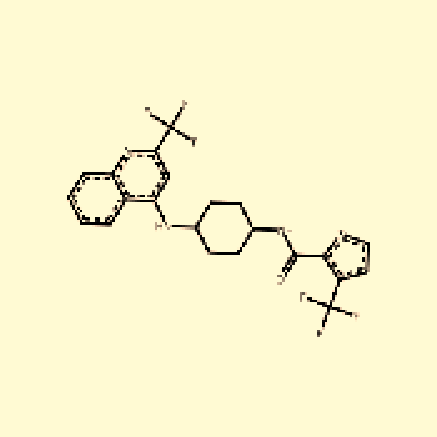 O=C(NC1CCC(Nc2cc(C(F)(F)F)nc3ccccc23)CC1)c1sccc1C(F)(F)F